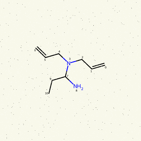 C=CCN(CC=C)C(N)CC